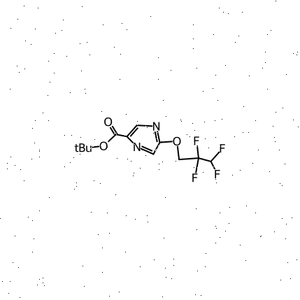 CC(C)(C)OC(=O)c1cnc(OCC(F)(F)C(F)F)cn1